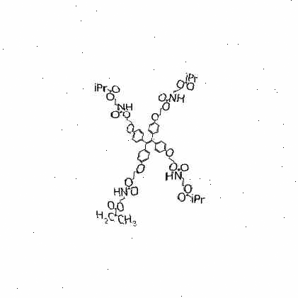 C=C(C)C(=O)OCCNC(=O)OCCOc1ccc(C(=C(c2ccc(OCCOC(=O)NCCOC(=O)C(C)C)cc2)c2ccc(OCCOC(=O)NCCOC(=O)C(C)C)cc2)c2ccc(OCCOC(=O)NCCOC(=O)C(C)C)cc2)cc1